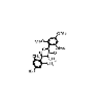 COc1cc(OC)c(C(=O)[P](=O)C(C)C(=O)c2c(C)cc(C(C)(C)C)cc2C)c(OC)c1